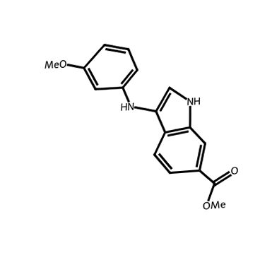 COC(=O)c1ccc2c(Nc3cccc(OC)c3)c[nH]c2c1